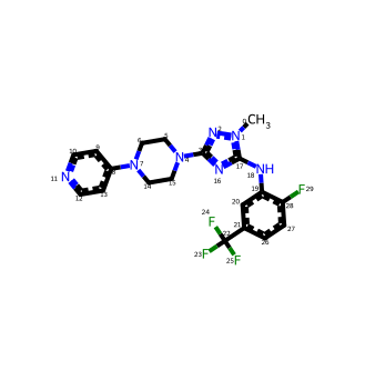 Cn1nc(N2CCN(c3ccncc3)CC2)nc1Nc1cc(C(F)(F)F)ccc1F